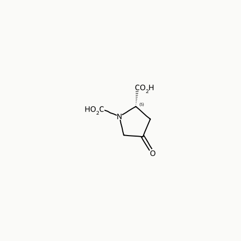 O=C1C[C@@H](C(=O)O)N(C(=O)O)C1